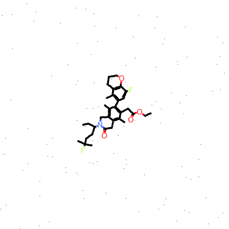 CCOC(=O)Cc1c(C)c2c(c(C)c1-c1cc(F)c3c(c1C)CCCO3)CN(C(CC)CCC(C)(C)F)C(=O)C2